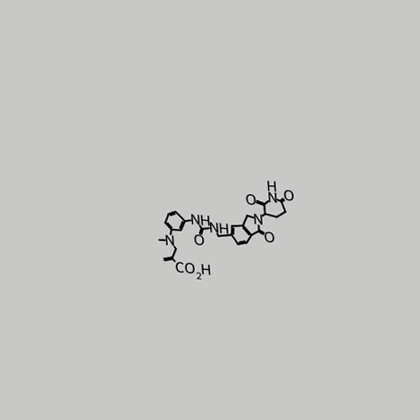 C=C(CN(C)c1cccc(NC(=O)NCc2ccc3c(c2)CN(C2CCC(=O)NC2=O)C3=O)c1)C(=O)O